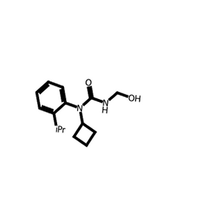 CC(C)c1ccccc1N(C(=O)NCO)C1CCC1